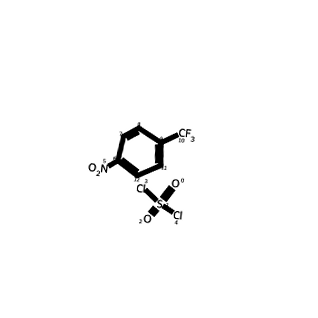 O=S(=O)(Cl)Cl.O=[N+]([O-])c1ccc(C(F)(F)F)cc1